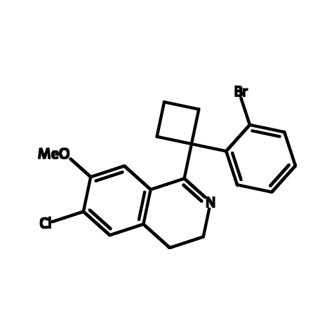 COc1cc2c(cc1Cl)CCN=C2C1(c2ccccc2Br)CCC1